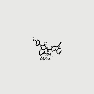 COc1ccc2c(c1N)[C@@](C)(C(=O)c1cc3c4ccccc4n(C(C)=O)c3cn1)C(=O)N2c1ccc(F)cc1